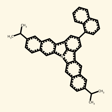 CC(C)c1ccc2cc3c(cc2c1)c1cc(-c2cccc4ccccc24)cc2c4cc5cc(C(C)C)ccc5cc4n3c12